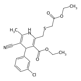 CCOC(=O)CSCC1=C(C(=O)OCC)C(c2cccc(Cl)c2)C(C#N)=C(C)N1